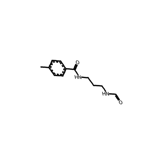 Cc1ccc(C(=O)NCCCNC=O)cc1